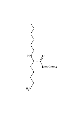 CCCCCCNC(CCCCN)C(=O)N=C=O